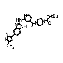 CC(c1ccnc(Nc2nc3cc(-c4cc(C(F)(F)F)nn4C)ccc3[nH]2)c1)N1CCN(C(=O)OC(C)(C)C)CC1